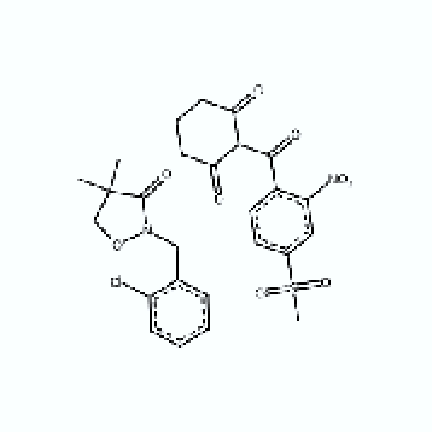 CC1(C)CON(Cc2ccccc2Cl)C1=O.CS(=O)(=O)c1ccc(C(=O)C2C(=O)CCCC2=O)c([N+](=O)[O-])c1